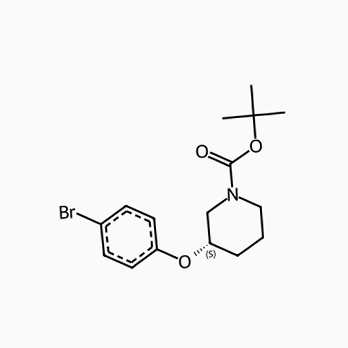 CC(C)(C)OC(=O)N1CCC[C@H](Oc2ccc(Br)cc2)C1